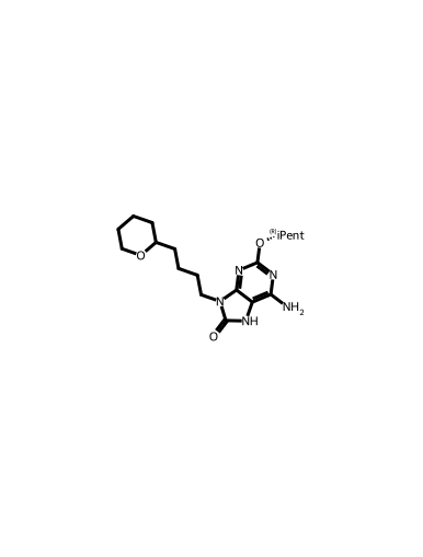 CCC[C@@H](C)Oc1nc(N)c2[nH]c(=O)n(CCCCC3CCCCO3)c2n1